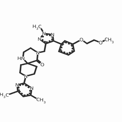 COCCOc1cccc(-c2nn(C)nc2CN2CCNC3(CCN(c4nc(C)cc(C)n4)CC3)C2=O)c1